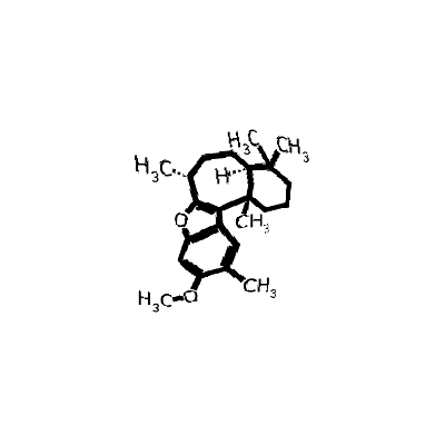 COc1cc2oc3c(c2cc1C)[C@@]1(C)CCCC(C)(C)[C@@H]1CC[C@H]3C